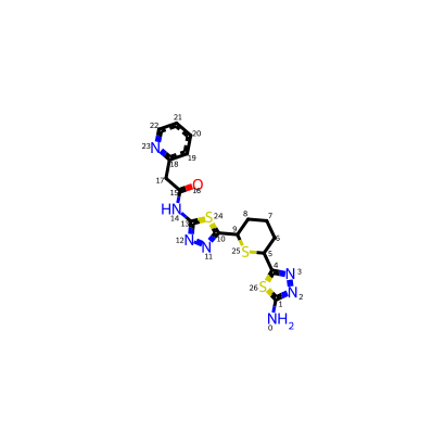 Nc1nnc(C2CCCC(c3nnc(NC(=O)Cc4ccccn4)s3)S2)s1